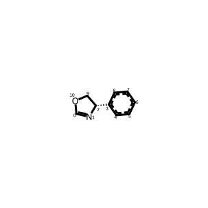 C1=N[C@@H](c2ccccc2)CO1